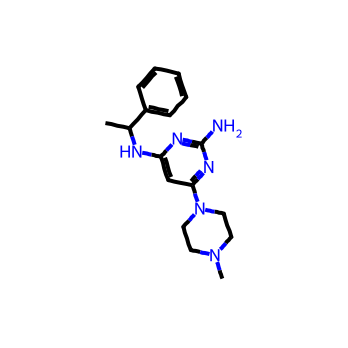 CC(Nc1cc(N2CCN(C)CC2)nc(N)n1)c1ccccc1